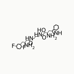 NC(CC(=O)NCCCNC(=O)C(O)C(N)Cc1c[nH]c2ccccc12)Cc1cc(F)ccc1F